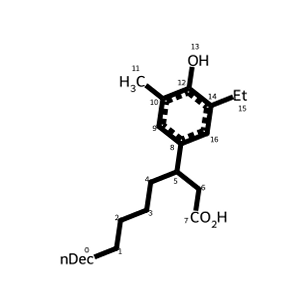 CCCCCCCCCCCCCCC(CC(=O)O)c1cc(C)c(O)c(CC)c1